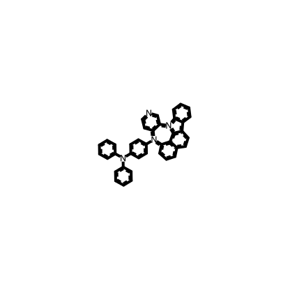 c1ccc(N(c2ccccc2)c2ccc(-n3c4cccc5ccc6c7ccccc7n(c7cnccc73)c6c54)cc2)cc1